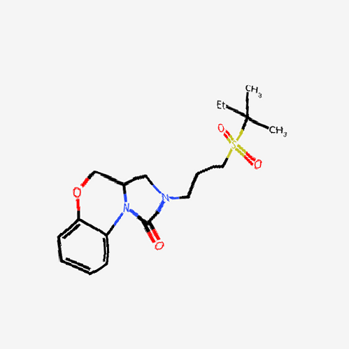 CCC(C)(C)S(=O)(=O)CCCN1CC2COc3ccccc3N2C1=O